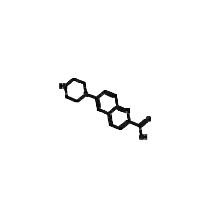 O=C(O)c1ccc2cc(N3CCNCC3)ccc2n1